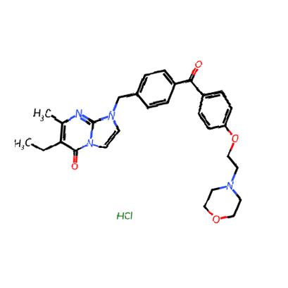 CCc1c(C)nc2n(Cc3ccc(C(=O)c4ccc(OCCN5CCOCC5)cc4)cc3)ccn2c1=O.Cl